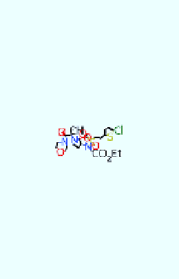 CCOC(=O)CN([C@H]1CCN([C@@H](C)C(=O)N2CCOCC2)C1=O)S(=O)(=O)CCc1ccc(Cl)s1